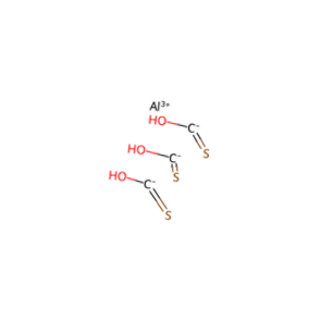 O[C-]=S.O[C-]=S.O[C-]=S.[Al+3]